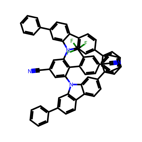 N#Cc1cc(-n2c3cc(-c4ccccc4)ccc3c3ccc(-c4ccccc4)cc32)c(-c2ccc(C#N)cc2C(F)(F)F)c(-n2c3cc(-c4ccccc4)ccc3c3ccc(-c4ccccc4)cc32)c1